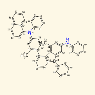 Cc1cc(N(c2ccccc2)c2cccc3ccccc23)ccc1-c1cccc2c1-c1c(C)cc(Nc3ccccc3)cc1B2c1ccccc1